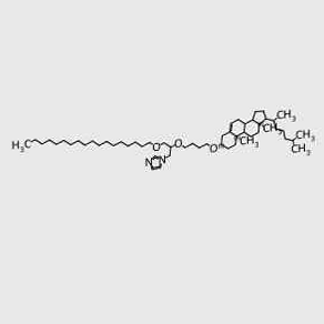 CCCCCCCCCCCCCCCCCCOCC(Cn1ccnc1)OCCCCO[C@H]1CC[C@@]2(C)C(=CCC3C4CCC(C(C)CCCC(C)C)[C@@]4(C)CCC32)C1